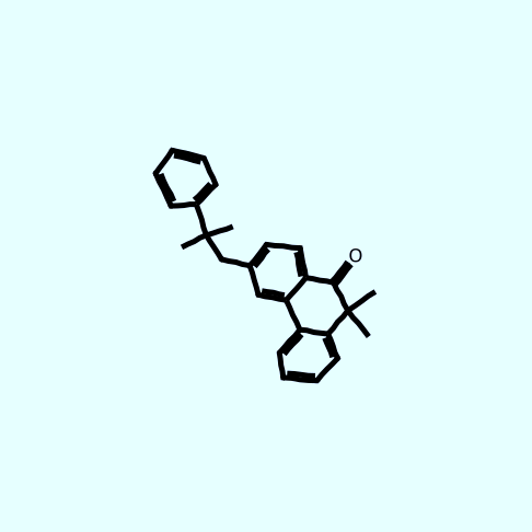 CC(C)(Cc1ccc2c(c1)-c1ccccc1C(C)(C)C2=O)c1ccccc1